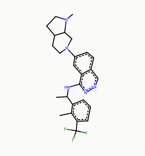 Cc1c(C(C)Nc2nncc3ccc(N4CCC5CCN(C)C5C4)cc23)cccc1C(F)(F)F